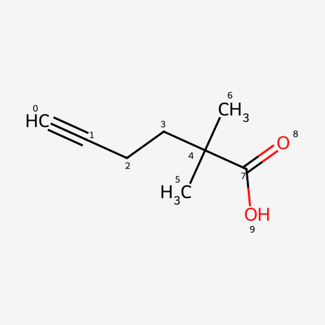 C#CCCC(C)(C)C(=O)O